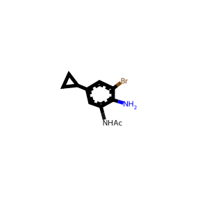 [CH2]C(=O)Nc1cc(C2CC2)cc(Br)c1N